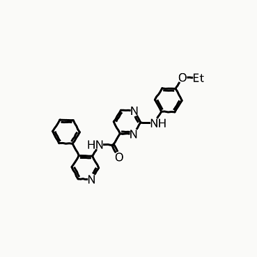 CCOc1ccc(Nc2nccc(C(=O)Nc3cnccc3-c3ccccc3)n2)cc1